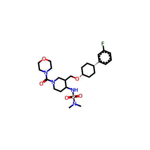 CN(C)S(=O)(=O)NC1CCN(C(=O)N2CCOCC2)CC1CO[C@H]1CC[C@@H](c2cccc(F)c2)CC1